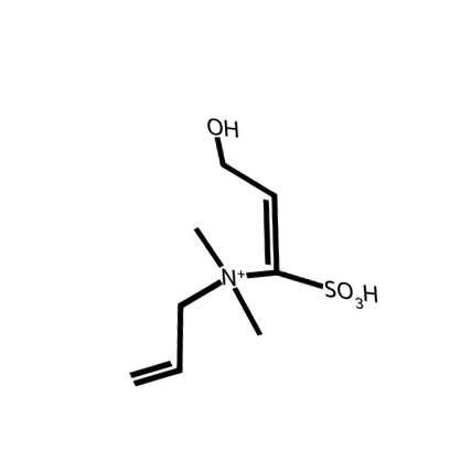 C=CC[N+](C)(C)C(=CCO)S(=O)(=O)O